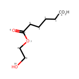 O=C(O)CCCCC(=O)OCCO